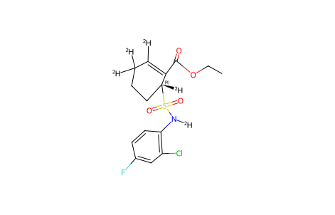 [2H]C1=C(C(=O)OCC)[C@]([2H])(S(=O)(=O)N([2H])c2ccc(F)cc2Cl)CCC1([2H])[2H]